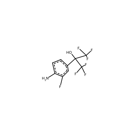 Nc1ccc(C(O)(C(F)(F)F)C(F)(F)F)cc1F